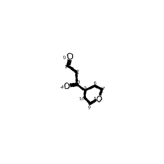 O=CCC(=O)C1CCOCC1